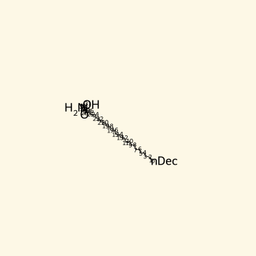 CCCCCCCCCCCCCCCCCCCCCCCCCCCCCCCCCCCCC(=O)N(N)O